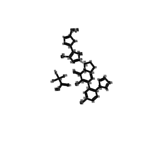 O=C(O)C(F)(F)F.O=C(O)c1ccc(-c2[nH]c([C@@H]3CCc4cc(-c5cc(Cl)ccc5-n5cnnn5)c(Cl)c(=O)n43)nc2Cl)s1